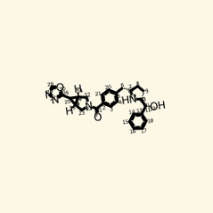 O=C(c1ccc(C[C@@H]2CC[C@H]([C@H](O)c3ccccc3)N2)cc1)N1C[C@@H]2C(c3nnco3)[C@@H]2C1